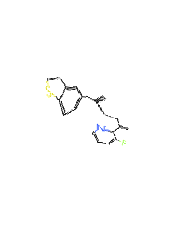 C=C(CCC(=C)c1ncccc1F)c1ccc2sccc2c1